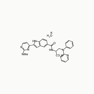 CNc1nccc(-c2cc3cc(C(=O)NC(CN(c4ccccc4)c4ccccn4)C(=O)O)ccc3[nH]2)n1.O.[K]